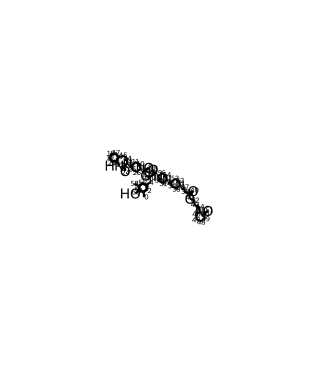 Cc1cc(C[C@@H](OC(=O)N2CCC(N3CCc4ccccc4NC3=O)CC2)C(=O)N2CCN(C3CCN(CCC(=O)OCCCN4CCCCC4=O)CC3)CC2)cc(C)c1O